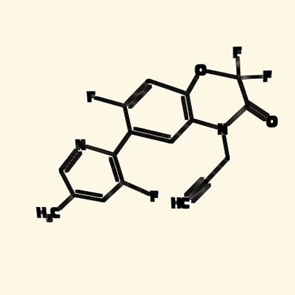 C#CCN1C(=O)C(F)(F)Oc2cc(F)c(-c3ncc(C)cc3F)cc21